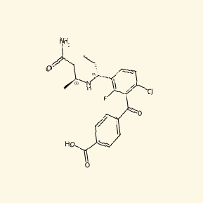 CC[C@@H](N[C@@H](C)CC(N)=O)c1ccc(Cl)c(C(=O)c2ccc(C(=O)O)cc2)c1F